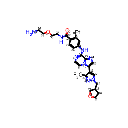 CCc1cc(Nc2nccn3c(-c4cn(CC5CCOC5)nc4C(F)(F)F)cnc23)ccc1C(=O)NCCOCCN